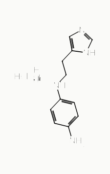 Cl.Cl.Cl.Nc1ccc(NCCc2cnc[nH]2)cc1